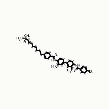 CCc1ccc(C(=O)Nc2ccc(-c3ccc(NC(=O)c4ccc(CCCCCCCC[N+](C)(C)C)cc4)c(C)c3)cc2C)cc1